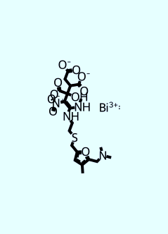 CNC(NCCSCc1cc(C)c(CN(C)C)o1)=C([N+](=O)[O-])C(O)(C(=O)[O-])C(CC(=O)[O-])C(=O)[O-].[Bi+3]